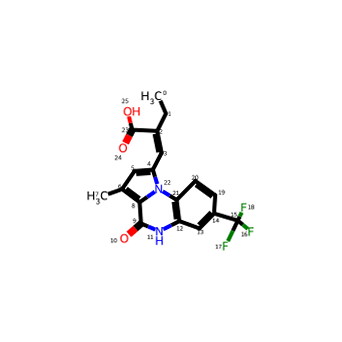 CCC(=Cc1cc(C)c2c(=O)[nH]c3cc(C(F)(F)F)ccc3n12)C(=O)O